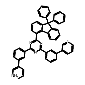 C/C=C\C(=C/N)c1cccc(-c2nc(-c3cccc(-c4cccnc4)c3)nc(-c3cccc4c3-c3ccccc3C4(c3ccccc3)c3ccccc3)n2)c1